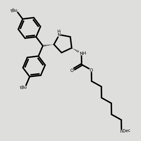 CCCCCCCCCCCCCCCCOC(=O)N[C@H]1CN[C@@H](C(c2ccc(C(C)(C)C)cc2)c2ccc(C(C)(C)C)cc2)C1